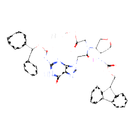 COC(=O)CN(C(=O)Cn1cnc2c(=O)[nH]c(NC(=O)OC(c3ccccc3)c3ccccc3)nc21)[C@H]1COC[C@@H]1NC(=O)OCC1c2ccccc2-c2ccccc21